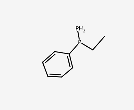 CCP(P)c1ccccc1